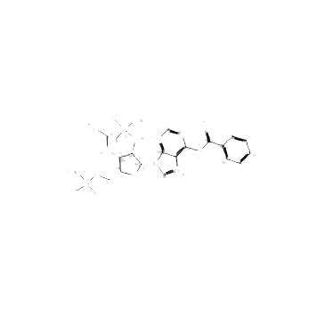 CC(C)(C)[Si](C)(C)OC[C@H]1O[C@@H](n2cnc3c(NC(=O)c4ccccc4)ncnc32)[C@H](O[Si](C)(C)C(C)(C)C)[C@@H]1OCF